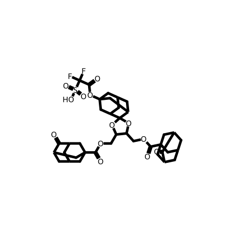 O=C1C2CC3CC1CC(C(=O)OCC1OC4(OC1COC(=O)C15CC6CC(C1)C(=O)C(C6)C5)C1CC5CC4CC(OC(=O)C(F)(F)S(=O)(=O)O)(C5)C1)(C3)C2